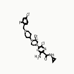 CC[C@H]1CN(c2nc(N)c(C(=O)NC3CC3)nc2Cl)CCN1C1CCN(Cc2ccc(Cl)cc2F)CC1